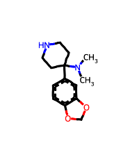 CN(C)C1(c2ccc3c(c2)OCO3)CCNCC1